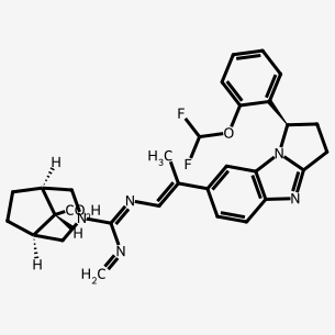 C=N/C(=N\C=C(/C)c1ccc2nc3n(c2c1)[C@@H](c1ccccc1OC(F)F)CC3)N1C[C@H]2CC[C@@H](C1)[C@@H]2C(=O)O